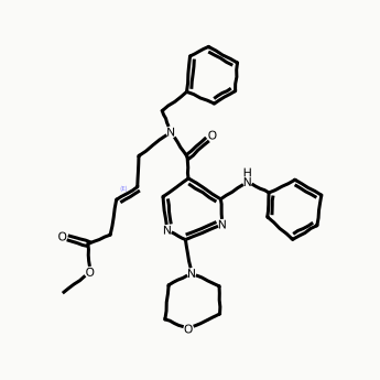 COC(=O)C/C=C/CN(Cc1ccccc1)C(=O)c1cnc(N2CCOCC2)nc1Nc1ccccc1